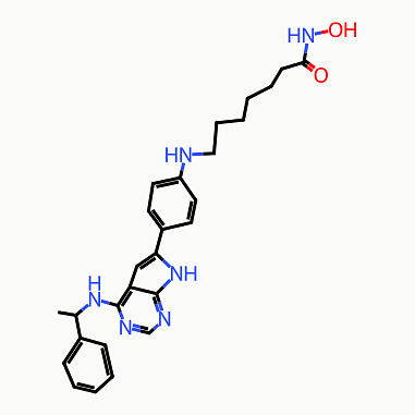 CC(Nc1ncnc2[nH]c(-c3ccc(NCCCCCCC(=O)NO)cc3)cc12)c1ccccc1